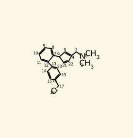 CN(C)CC1=CC(c2ccccc2-c2ccc(C[O])cc2)C=C1